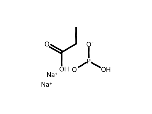 CCC(=O)O.[Na+].[Na+].[O-]P([O-])O